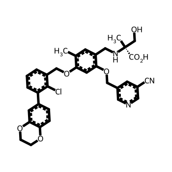 Cc1cc(CN[C@@](C)(CO)C(=O)O)c(OCc2cncc(C#N)c2)cc1OCc1cccc(-c2ccc3c(c2)OCCO3)c1Cl